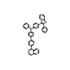 c1ccc(-c2nc3ccccn3c2-c2ccc(N(c3ccccc3)c3ccc(-c4ccc(-c5nncc6ccccc56)cc4)cc3)cc2)cc1